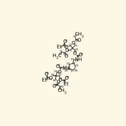 C=CC(=O)OCC(COC(=O)C=C)(COC(=O)CC)COC(=O)NCC1CCCC(CNC(=O)OCC(COC(=O)C=C)(COC(=O)CC)COC(=O)CC)C1